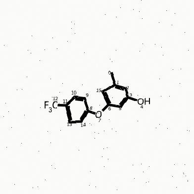 Cc1cc(O)cc(Oc2ccc(C(F)(F)F)cc2)c1